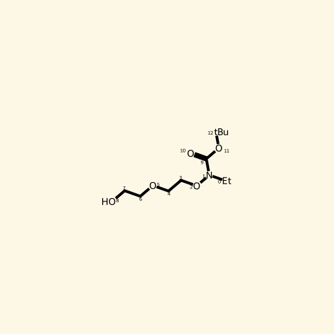 CCN(OCCOCCO)C(=O)OC(C)(C)C